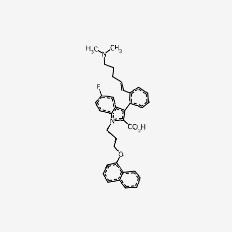 CN(C)CCCC=Cc1ccccc1-c1c(C(=O)O)n(CCCOc2cccc3ccccc23)c2ccc(F)cc12